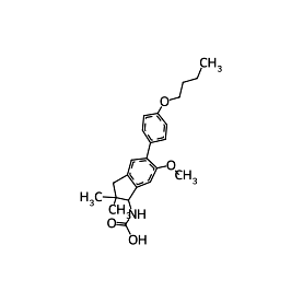 CCCCOc1ccc(-c2cc3c(cc2OC)C(NC(=O)O)C(C)(C)C3)cc1